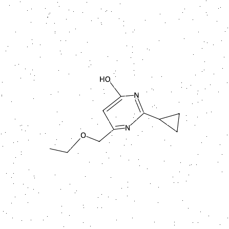 CCOCc1cc(O)nc(C2CC2)n1